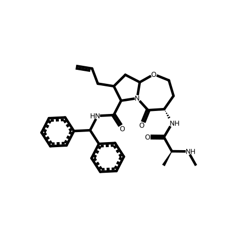 C=CCC1CC2OCC[C@H](NC(=O)[C@H](C)NC)C(=O)N2C1C(=O)NC(c1ccccc1)c1ccccc1